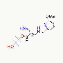 COc1cccc(CN/C=C(/BOC(C)(C)C(C)(C)O)C=N)n1